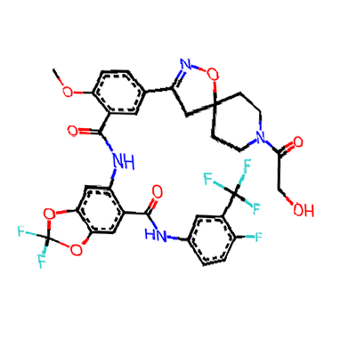 COc1ccc(C2=NOC3(CCN(C(=O)CO)CC3)C2)cc1C(=O)Nc1cc2c(cc1C(=O)Nc1ccc(F)c(C(F)(F)F)c1)OC(F)(F)O2